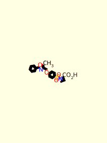 Cc1oc(-c2ccccc2)nc1COc1ccc(S(=O)(=O)N2CC[C@@H]2C(=O)O)cc1